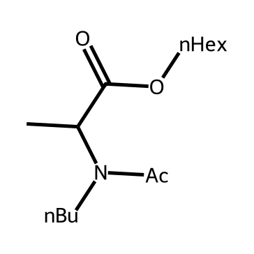 CCCCCCOC(=O)C(C)N(CCCC)C(C)=O